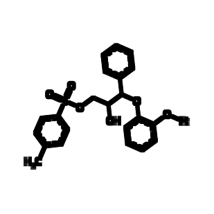 CCOc1ccccc1OC(c1ccccc1)C(O)COS(=O)(=O)c1ccc(C)cc1